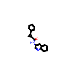 O=C(Nc1cnc2ccccc2c1)C1CC1c1ccccc1